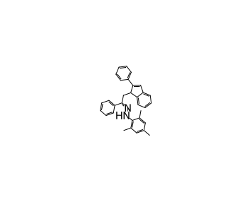 Cc1cc(C)c(NN=C(CC2C(c3ccccc3)=Cc3ccccc32)c2ccccc2)c(C)c1